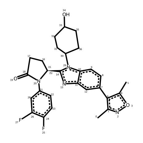 Cc1noc(C)c1-c1ccc2c(c1)nc([C@@H]1CCC(=O)N1c1ccc(F)c(F)c1)n2C1CCC(O)CC1